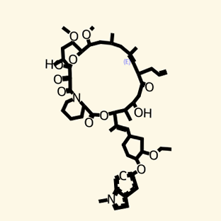 C=CCC1/C=C(\C)CC(C)CC(OC)C2OC(O)(C(=O)C(=O)N3CCCCC3C(=O)OC(C(C)=CC3CCC(Oc4ccc5c(ccn5C)c4)C(OCC)C3)C(C)C(O)CC1=O)C(C)CC2OC